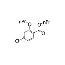 CCCOC(=O)c1ccc(Cl)cc1OCCC